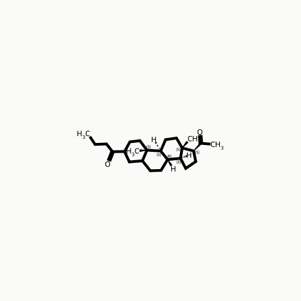 CCCC(=O)C1CC[C@@]2(C)C(CC[C@H]3[C@@H]4CC[C@H](C(C)=O)[C@@]4(C)CC[C@@H]32)C1